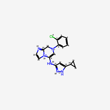 Clc1ccccc1N1C=C(Nc2cc(C3CC3)[nH]n2)[N+]2C=CN=C2C1